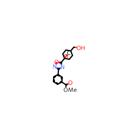 COC(=O)c1cccc(-c2noc(C34CCC(CO)(CC3)CO4)n2)c1